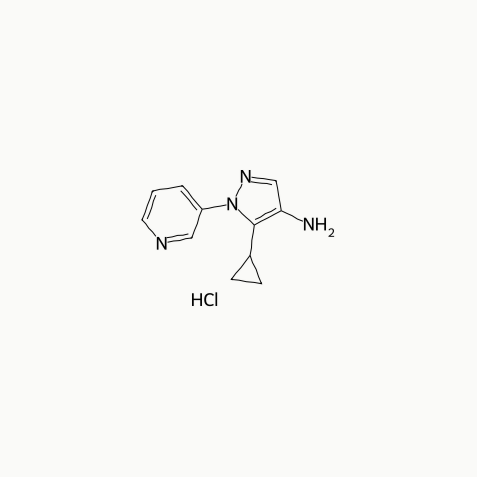 Cl.Nc1cnn(-c2cccnc2)c1C1CC1